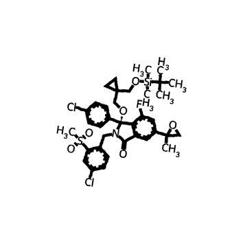 CC1(c2cc(F)c3c(c2)C(=O)N(Cc2ccc(Cl)cc2S(C)(=O)=O)[C@@]3(OCC2(CO[Si](C)(C)C(C)(C)C)CC2)c2ccc(Cl)cc2)CO1